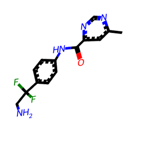 Cc1cc(C(=O)Nc2ccc(C(F)(F)CN)cc2)ncn1